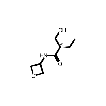 CC[C@H](CO)C(=O)NC1COC1